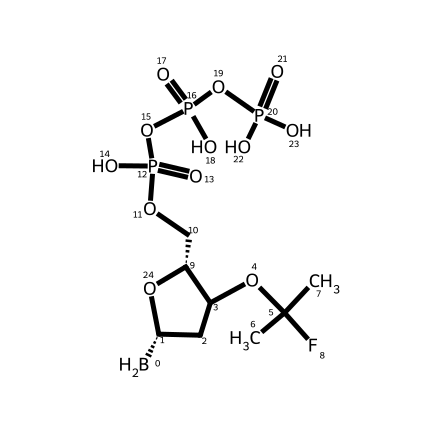 B[C@H]1CC(OC(C)(C)F)[C@@H](COP(=O)(O)OP(=O)(O)OP(=O)(O)O)O1